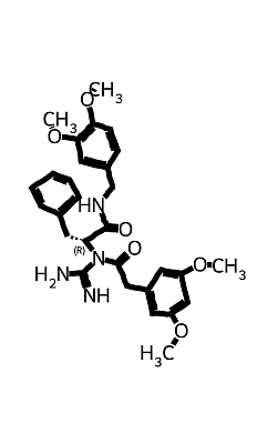 COc1cc(CC(=O)N(C(=N)N)[C@H](Cc2ccccc2)C(=O)NCc2ccc(OC)c(OC)c2)cc(OC)c1